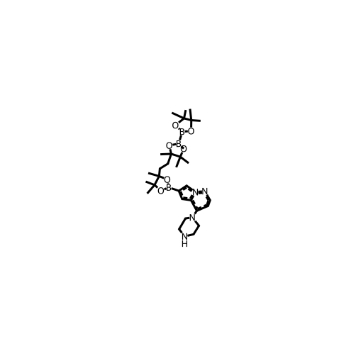 CC1(C)OB(B2OC(C)(C)C(C)(CCC3(C)OB(c4cc5c(N6CCNCC6)ccnn5c4)OC3(C)C)O2)OC1(C)C